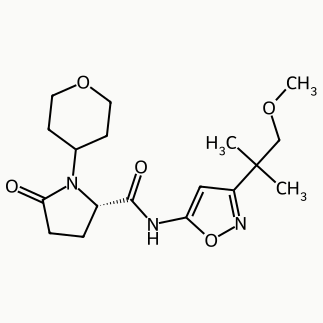 COCC(C)(C)c1cc(NC(=O)[C@@H]2CCC(=O)N2C2CCOCC2)on1